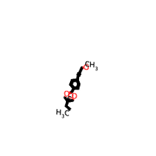 CCCC12COC(c3ccc(C#CCOC)cc3)(OC1)OC2